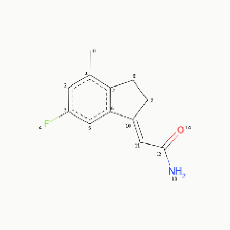 Cc1cc(F)cc2c1CCC2=CC(N)=O